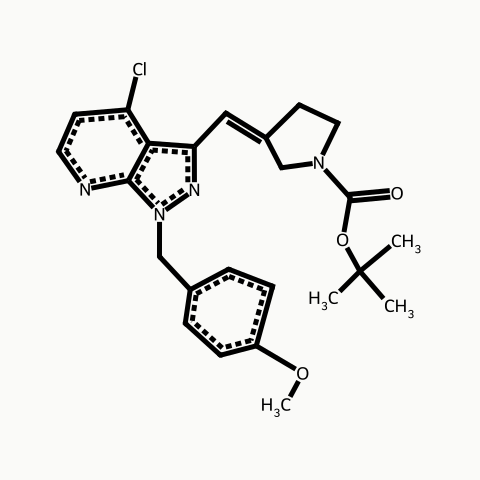 COc1ccc(Cn2nc(/C=C3/CCN(C(=O)OC(C)(C)C)C3)c3c(Cl)ccnc32)cc1